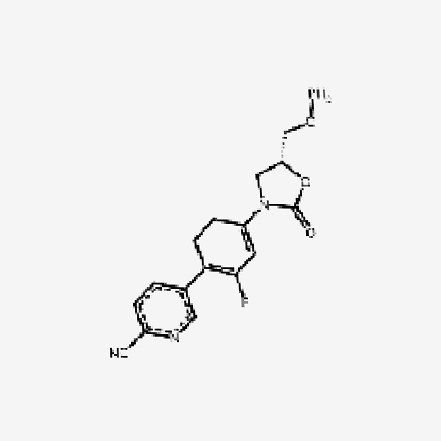 N#Cc1ccc(C2=C(F)C=C(N3C[C@H](COP)OC3=O)CC2)cn1